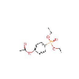 CCOP(=O)(OCC)c1ccc(OC(C)=O)cc1